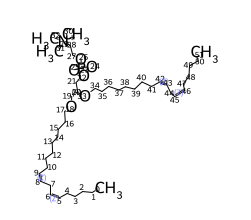 CCCCC/C=C\C/C=C\CCCCCCCCOC[C@H](COP(=O)([O-])OCC[N+](C)(C)C)OCCCCCCCC/C=C\C/C=C\CCCCC